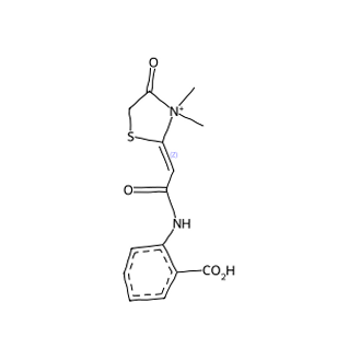 C[N+]1(C)C(=O)CS/C1=C\C(=O)Nc1ccccc1C(=O)O